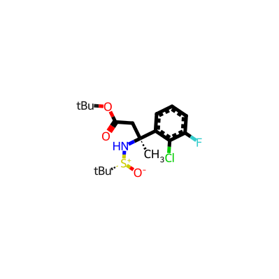 CC(C)(C)OC(=O)C[C@](C)(N[S@+]([O-])C(C)(C)C)c1cccc(F)c1Cl